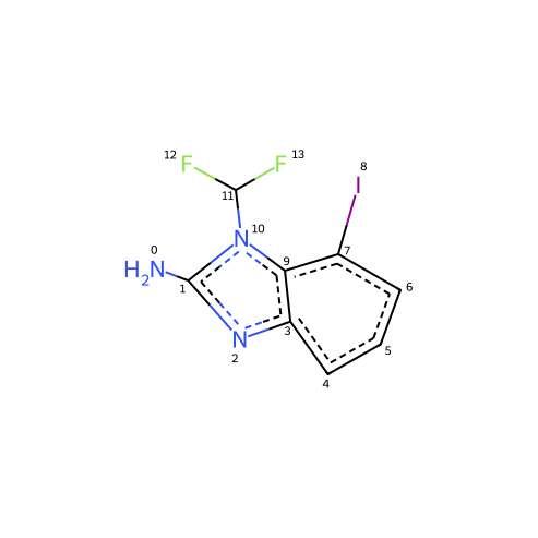 Nc1nc2cccc(I)c2n1C(F)F